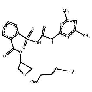 CCCCCCCCCCCCOS(=O)(=O)O.Cc1cc(C)nc(NC(=O)NS(=O)(=O)c2ccccc2C(=O)OC2COC2)n1